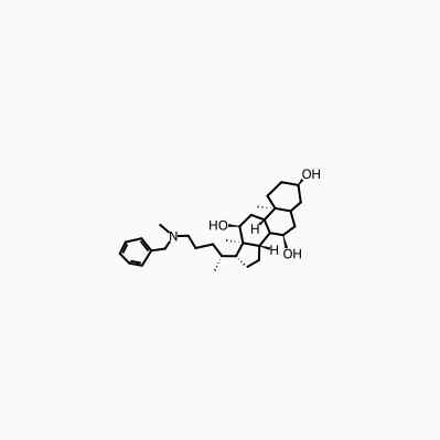 C[C@H](CCCN(C)Cc1ccccc1)[C@H]1CC[C@H]2C3[C@H](O)CC4C[C@H](O)CC[C@]4(C)[C@H]3C[C@H](O)[C@]12C